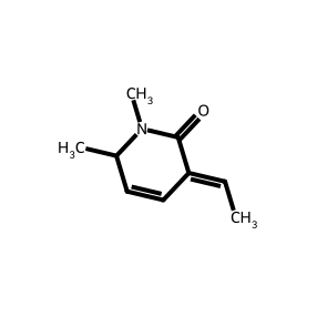 C/C=C1\C=CC(C)N(C)C1=O